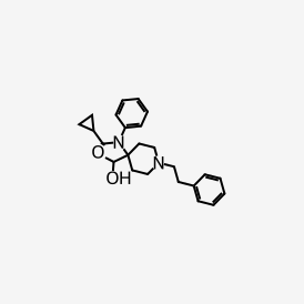 CC(O)C1(N(C(=O)C2CC2)c2ccccc2)CCN(CCc2ccccc2)CC1